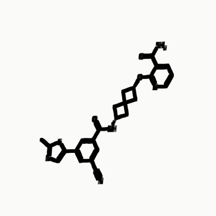 Cc1ncc(-c2cc(C#N)cc(C(=O)N[C@H]3CC4(C3)C[C@H](Oc3ncccc3C(N)=O)C4)c2)s1